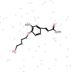 COC(=O)/C=C/c1ccc(OCCCCO)c(OC)c1